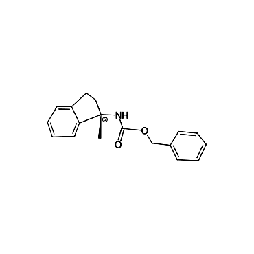 C[C@]1(NC(=O)OCc2ccccc2)CCc2ccccc21